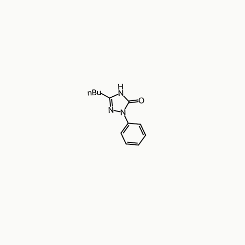 CCCCc1nn(-c2ccccc2)c(=O)[nH]1